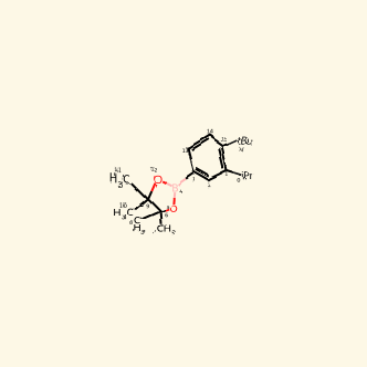 CC(C)c1cc(B2OC(C)(C)C(C)(C)O2)ccc1C(C)(C)C